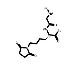 CCC(=O)[C@H](CCCCN1C(=O)CCC1=O)NC(=O)CNC(C)C